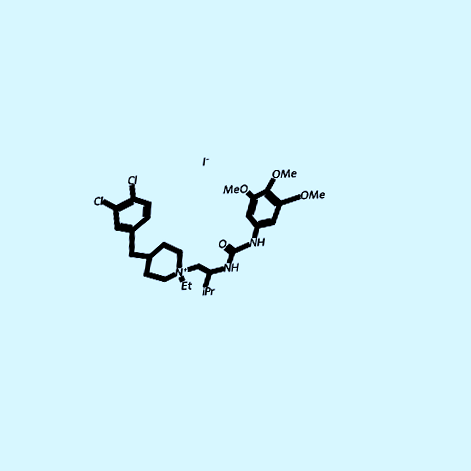 CC[N+]1(CC(NC(=O)Nc2cc(OC)c(OC)c(OC)c2)C(C)C)CCC(Cc2ccc(Cl)c(Cl)c2)CC1.[I-]